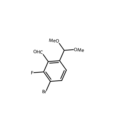 COC(OC)c1ccc(Br)c(F)c1C=O